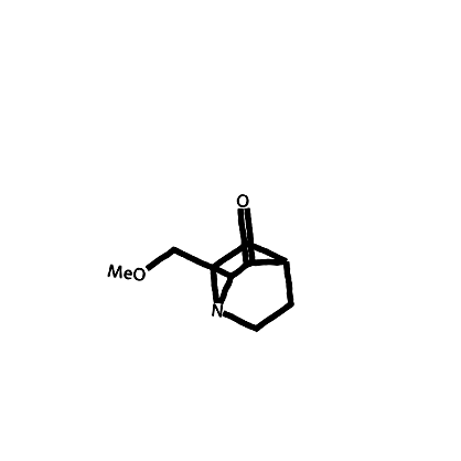 COCC1C(=O)C2CCN1CC2